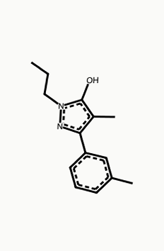 CCCn1nc(-c2cccc(C)c2)c(C)c1O